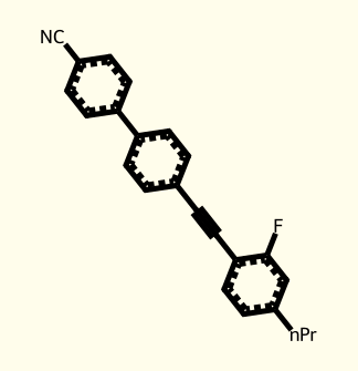 CCCc1ccc(C#Cc2ccc(-c3ccc(C#N)cc3)cc2)c(F)c1